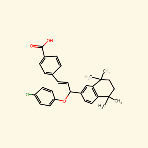 CC1(C)CCC(C)(C)c2cc(C(C=Cc3ccc(C(=O)O)cc3)Oc3ccc(Cl)cc3)ccc21